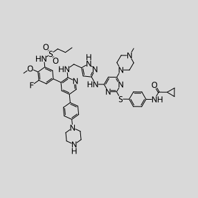 CCCS(=O)(=O)Nc1cc(-c2cc(-c3ccc(N4CCNCC4)cc3)cnc2NCc2cc(Nc3cc(N4CCN(C)CC4)nc(Sc4ccc(NC(=O)C5CC5)cc4)n3)n[nH]2)cc(F)c1OC